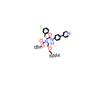 CNCCOCCN(C(=O)OC(C)(C)C)[C@H](Cc1cccc(F)c1)C(=O)Nc1ccc(-c2ccncc2)cc1